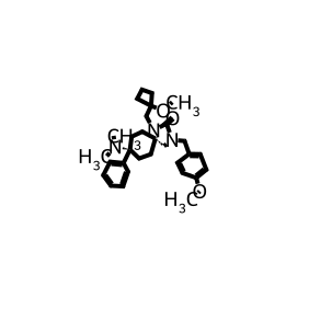 COc1ccc(CN2C[C@]3(CC[C@@](c4ccccc4)(N(C)C)CC3)N(CC3(OC)CCC3)C2=O)cc1